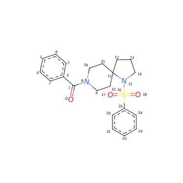 O=C(c1ccccc1)N1CCC2(CCCN2S(=O)(=O)c2ccccc2)CC1